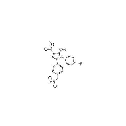 COC(=O)c1cc(-c2ccc(C[SH](=O)=O)cc2)n(-c2ccc(F)cc2)c1O